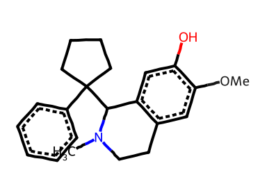 COc1cc2c(cc1O)C(C1(c3ccccc3)CCCC1)N(C)CC2